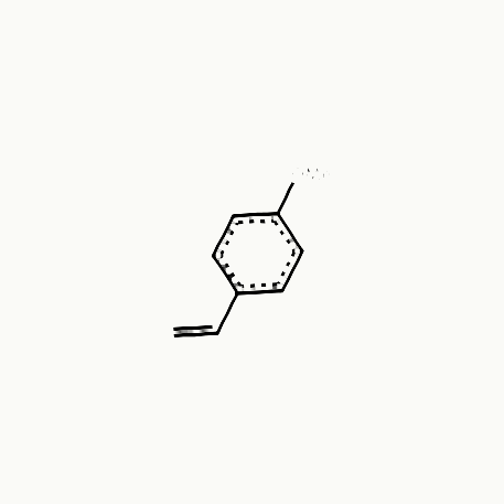 C=Cc1[c]cc(OC)cc1